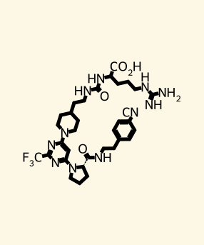 N#Cc1ccc(CCNC(=O)[C@@H]2CCCN2c2cc(N3CCC(CCNC(=O)NC(CCCNC(=N)N)C(=O)O)CC3)nc(C(F)(F)F)n2)cc1